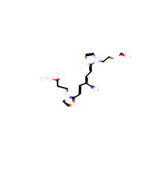 N#CC(=C\C=C1/OC=CN1CCOC=O)/C=C/c1occ[n+]1CCC(=O)O